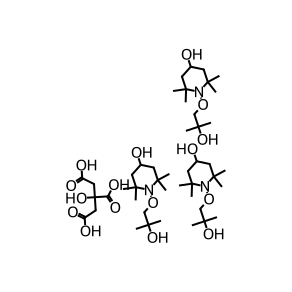 CC(C)(O)CON1C(C)(C)CC(O)CC1(C)C.CC(C)(O)CON1C(C)(C)CC(O)CC1(C)C.CC(C)(O)CON1C(C)(C)CC(O)CC1(C)C.O=C(O)CC(O)(CC(=O)O)C(=O)O